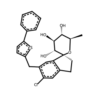 C[C@H]1O[C@]2(CCc3cc(Cl)c(Cc4ccc(-c5ccccc5)s4)cc32)[C@H](O)[C@@H](O)[C@@H]1O